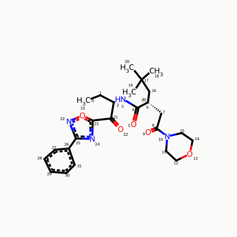 CCC(NC(=O)[C@@H](CC(=O)N1CCOCC1)CC(C)(C)C)C(=O)c1nc(-c2ccccc2)no1